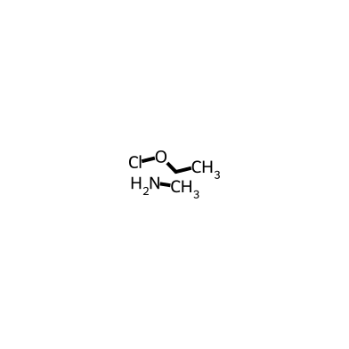 CCOCl.CN